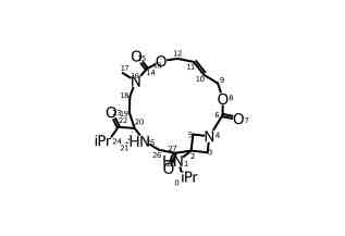 CC(C)NC12CN(C1)C(=O)OC/C=C/COC(=O)N(C)CC[C@](C)(C(=O)C(C)C)NCC2=O